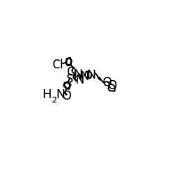 NC(=O)c1ccc(Sc2cnc(N3CCN(CC#CCOC4CCCCO4)CC3)nc2OCc2cccc(Cl)c2)cc1